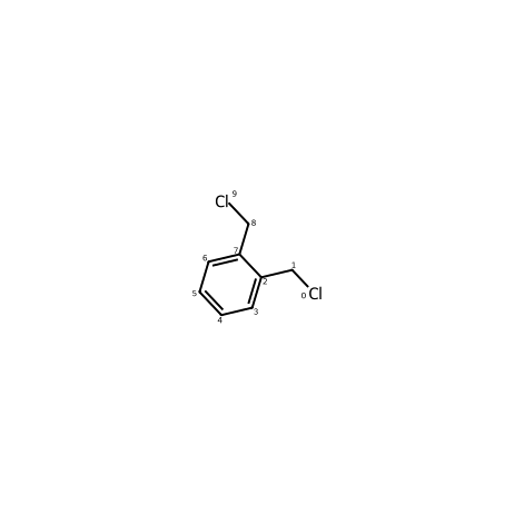 ClCc1ccccc1CCl